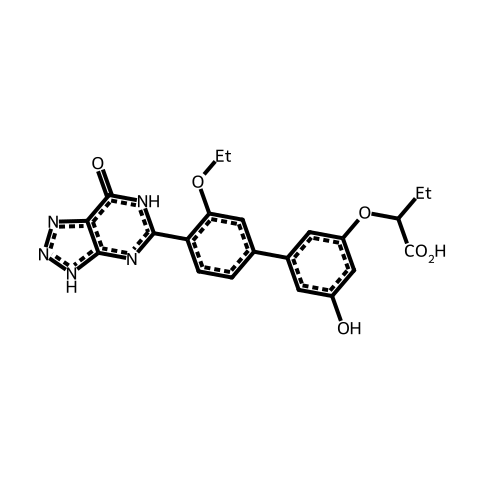 CCOc1cc(-c2cc(O)cc(OC(CC)C(=O)O)c2)ccc1-c1nc2[nH]nnc2c(=O)[nH]1